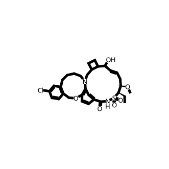 CC[C@@H]1[C@H](OC)C/C=C/C(O)C2CCC2CN2CCCCc3cc(Cl)ccc3COc3ccc(cc32)C(=O)NS1(=O)=O